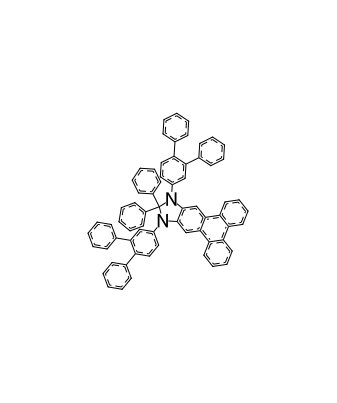 c1ccc(-c2ccc(N3c4cc5c6ccccc6c6ccccc6c5cc4N(c4ccc(-c5ccccc5)c(-c5ccccc5)c4)C3(c3ccccc3)c3ccccc3)cc2-c2ccccc2)cc1